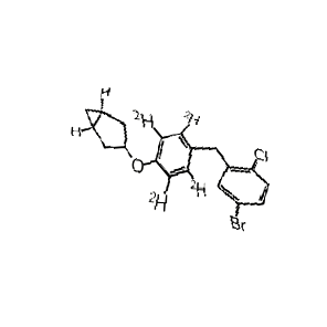 [2H]c1c([2H])c(OC2C[C@@H]3C[C@@H]3C2)c([2H])c([2H])c1Cc1cc(Br)ccc1Cl